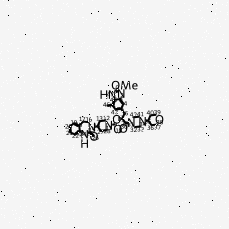 COc1nc2cc(CC(OC(=O)N3CCC(N4CCc5ccccc5NC4=O)CC3)C(=O)N3CCN(C4CCOCC4)CC3)cc(C)c2[nH]1